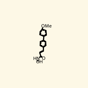 COc1ccc(-c2ccc(C=CC(=O)NO)cc2)cc1